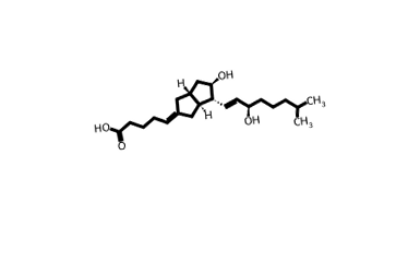 CC(C)CCC[C@@H](O)/C=C/[C@@H]1[C@H]2C/C(=C/CCCC(=O)O)C[C@@H]2C[C@H]1O